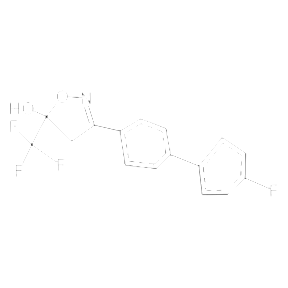 OC1(C(F)(F)F)CC(c2ccc(-c3ccc(F)cc3)cc2)=NO1